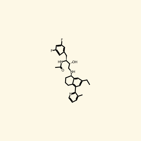 CCc1cc(-c2ncccc2C)c2c(c1)[C@H](NC[C@@H](O)[C@H](Cc1cc(F)cc(F)c1)NC(C)=O)CCC2